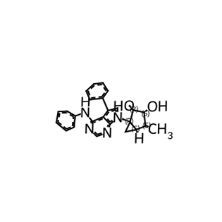 C[C@@H]1[C@H](O)[C@H](O)[C@@]2(n3cc(-c4ccccc4)c4c(Nc5ccccc5)ncnc43)C[C@@H]12